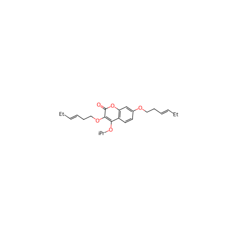 CCC=CCCOc1ccc2c(OC(C)C)c(OCCC=CCC)c(=O)oc2c1